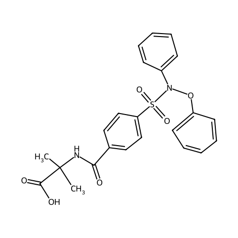 CC(C)(NC(=O)c1ccc(S(=O)(=O)N(Oc2ccccc2)c2ccccc2)cc1)C(=O)O